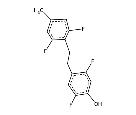 Cc1cc(F)c(CCc2cc(F)c(O)cc2F)c(F)c1